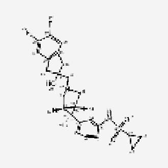 CC[C@]1(c2cccc(NS(=O)(=O)C3CC3)c2)[C@@H]2CN(CC3(O)Cc4cc(F)c(F)cc4C3)C[C@@H]21